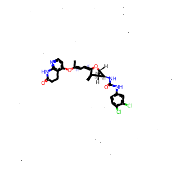 C=C1/C(=C\C=C(/C)Oc2ccnc3c2CCC(=O)N3)O[C@@H]2[C@@H](NC(=O)Nc3ccc(Cl)c(Cl)c3)[C@H]12